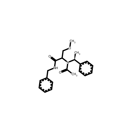 COCC(C(=O)NCc1ccccc1)N(C(C)=O)[C@@H](C)c1ccccc1